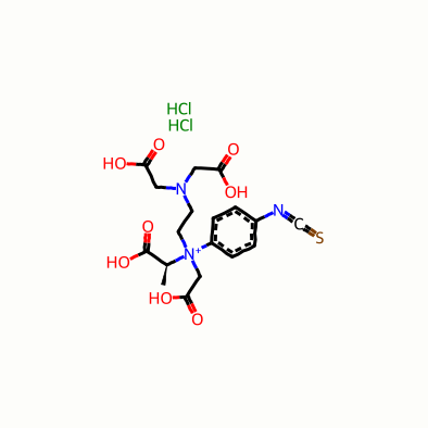 C[C@@H](C(=O)O)[N+](CCN(CC(=O)O)CC(=O)O)(CC(=O)O)c1ccc(N=C=S)cc1.Cl.Cl